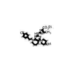 CCOC(=O)c1sc(Nc2nc3c(c(N4CCC(O)CC4)n2)CCCCN3CCc2ccc(Cl)cc2)nc1C